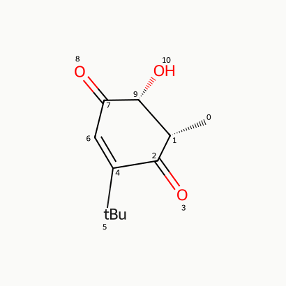 C[C@@H]1C(=O)C(C(C)(C)C)=CC(=O)[C@@H]1O